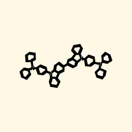 C1=CCC(N(c2ccccc2)c2ccc(-n3c4ccccc4c4cc(-c5ccc6c(c5)c5ccccc5n6-c5ccc(N(c6ccccc6)c6ccccc6)cc5)ccc43)cc2)C=C1